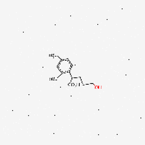 CCCCc1ccc(C(CCCO)C(=O)O)c(CCCC)c1